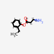 CCc1ccccc1OC(=O)CCN